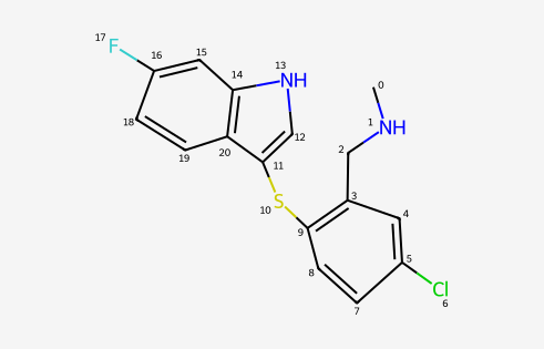 CNCc1cc(Cl)ccc1Sc1c[nH]c2cc(F)ccc12